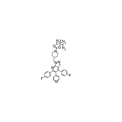 CC(C)(C)OC(=O)N1CCC(Cn2ncc3c(-c4ccc(F)cc4)c(-c4ccncc4)c(-c4ccc(F)cc4)nc32)CC1